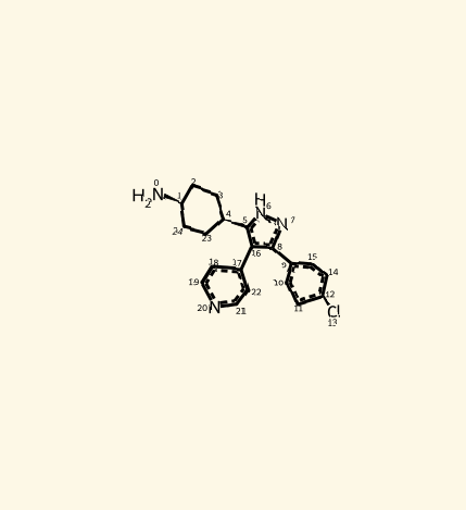 N[C@H]1CC[C@@H](c2[nH]nc(-c3ccc(Cl)cc3)c2-c2ccncc2)CC1